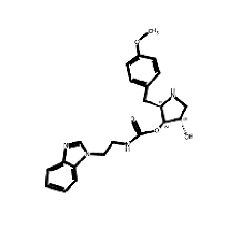 COc1ccc(C[C@H]2NC[C@H](O)[C@H]2OC(=O)NCCn2cnc3ccccc32)cc1